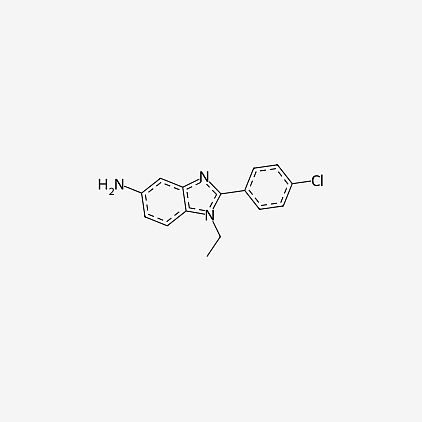 CCn1c(-c2ccc(Cl)cc2)nc2cc(N)ccc21